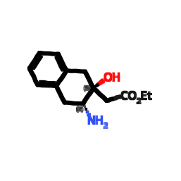 CCOC(=O)C[C@@]1(O)Cc2ccccc2C[C@H]1N